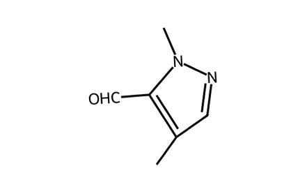 Cc1cnn(C)c1C=O